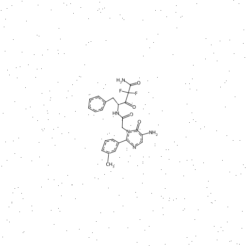 Cc1cccc(-c2ncc(N)c(=O)n2CC(=O)NC(Cc2ccccc2)C(=O)C(F)(F)C(N)=O)c1